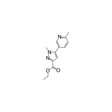 CCOC(=O)c1cc(-c2ccc(C)nc2)n(C)n1